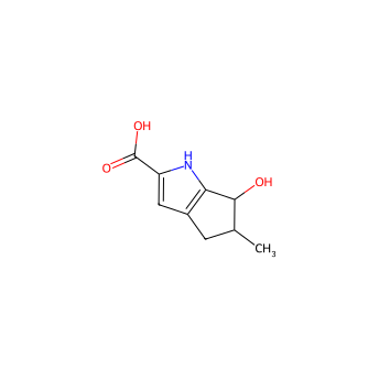 CC1Cc2cc(C(=O)O)[nH]c2C1O